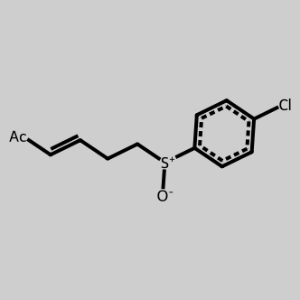 CC(=O)C=CCC[S+]([O-])c1ccc(Cl)cc1